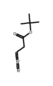 CC(C)(C)OC(=O)CC=[N+]=[N-]